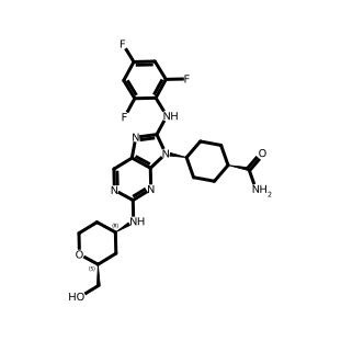 NC(=O)[C@H]1CC[C@@H](n2c(Nc3c(F)cc(F)cc3F)nc3cnc(N[C@@H]4CCO[C@H](CO)C4)nc32)CC1